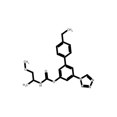 CCc1ccc(-c2cc(OC(=O)NC(C)COC)cc(-n3cnnn3)c2)cc1